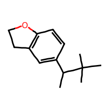 CC(c1ccc2c(c1)CCO2)C(C)(C)C